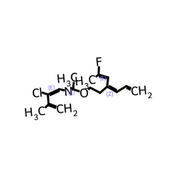 C=C/C=C(\C=C(/C)F)CCO/C(C)=N/C=C(/Cl)C(=C)C